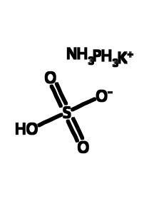 N.O=S(=O)([O-])O.P.[K+]